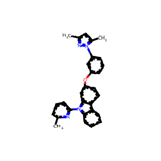 Cc1cccc(-n2c3ccccc3c3ccc(Oc4cccc(-n5nc(C)cc5C)c4)cc32)n1